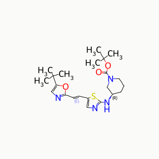 CC(C)(C)OC(=O)N1CCC[C@@H](Nc2ncc(/C=C/c3ncc(C(C)(C)C)o3)s2)C1